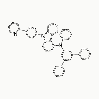 c1ccc(-c2cc(-c3ccccc3)cc(N(c3ccccc3)c3cccc4c3c3ccccc3n4-c3ccc(-c4ccccn4)cc3)c2)cc1